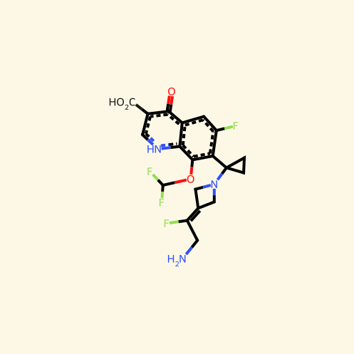 NCC(F)=C1CN(C2(c3c(F)cc4c(=O)c(C(=O)O)c[nH]c4c3OC(F)F)CC2)C1